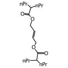 CCCC(CCC)C(=O)OC/C=C/COC(=O)C(CCC)CCC